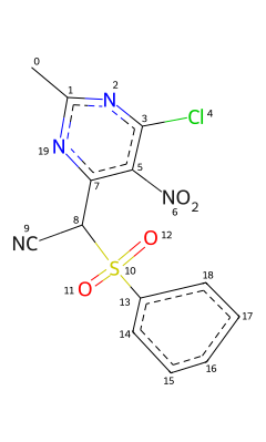 Cc1nc(Cl)c([N+](=O)[O-])c(C(C#N)S(=O)(=O)c2ccccc2)n1